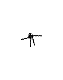 CCCCCCCCCCCC[Si]1(CCCCCCCCCCCC)O[Si](C)(C)O[Si](C)(C)O[Si](CCCCCCCCCCCC)(CCCCCCCCCCCC)O1